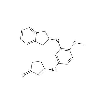 COc1ccc(NC2=CC(=O)CC2)cc1OC1Cc2ccccc2C1